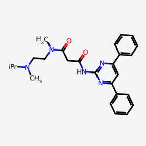 CC(C)N(C)CCN(C)C(=O)CC(=O)Nc1nc(-c2ccccc2)cc(-c2ccccc2)n1